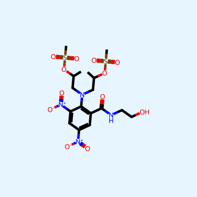 CC(CN(CC(C)OS(C)(=O)=O)c1c(C(=O)NCCO)cc([N+](=O)[O-])cc1[N+](=O)[O-])OS(C)(=O)=O